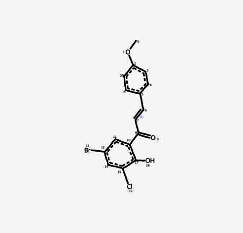 COc1ccc(/C=C/C(=O)c2cc(Br)cc(Cl)c2O)cc1